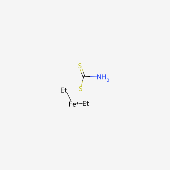 C[CH2][Fe+][CH2]C.NC(=S)[S-]